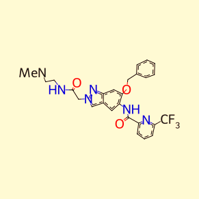 CNCCNC(=O)Cn1cc2cc(NC(=O)c3cccc(C(F)(F)F)n3)c(OCc3ccccc3)cc2n1